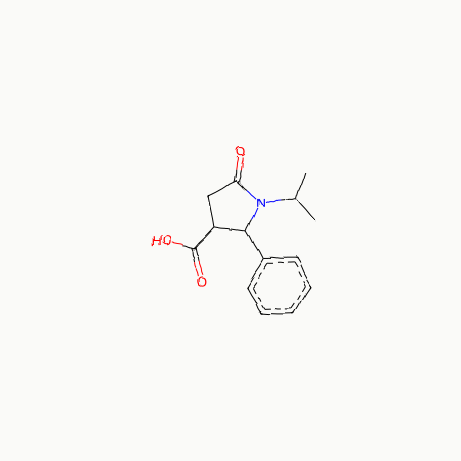 CC(C)N1C(=O)CC(C(=O)O)C1c1ccccc1